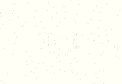 [SiH2]1[SiH2][Si]12[SiH2][SiH2]2